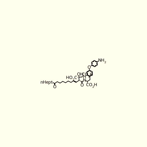 CCCCCCCC(=O)CCCCCC/C=C/[C@H](C(=O)N[C@@H](Cc1ccc(Oc2ccc(N)cc2)cc1)C(=O)O)[C@@](O)(CC(=O)O)C(=O)O